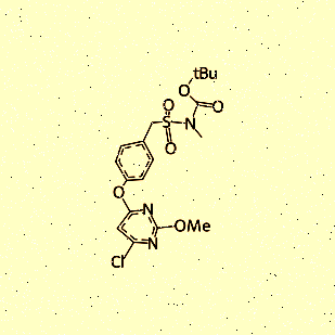 COc1nc(Cl)cc(Oc2ccc(CS(=O)(=O)N(C)C(=O)OC(C)(C)C)cc2)n1